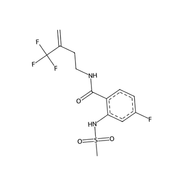 C=C(CCNC(=O)c1ccc(F)cc1NS(C)(=O)=O)C(F)(F)F